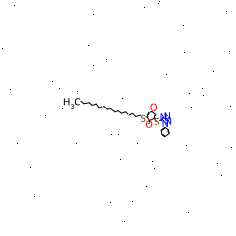 CCCCCCCCCCCCCCCCCCSC1=CC(=O)C=C(Sc2nnnn2-c2ccccc2)C1=O